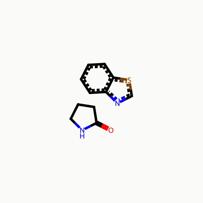 O=C1CCCN1.c1ccc2scnc2c1